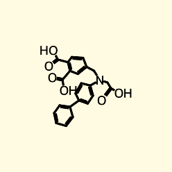 O=C(O)CN(Cc1ccc(C(=O)O)c(C(=O)O)c1)c1ccc(-c2ccccc2)cc1